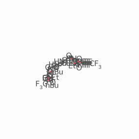 CCCCOC(=O)C(CC(ON1C(C)(CC)CC(=O)C(C)C1(C)CC)C(=O)OCCC(CCCC)C(F)(F)F)CC(C)(C)C(=O)NCCOC(=O)Nc1cccc(NC(=O)OCCNC(=O)C(C)(C)C[C@@H](C[C@@H](ON2C(C)(CC)CC(=O)C(C)C2(C)CC)C(=O)OCCC(F)(F)C(F)(F)C(F)(F)C(F)(F)C(F)(F)C(F)(F)F)C(=O)OCCCC)c1